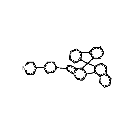 c1ccc2c(c1)-c1ccccc1C21c2ccc3ccccc3c2-c2ccc3cc(-c4ccc(-c5ccncc5)cc4)ccc3c21